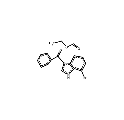 CCOC=O.O=C(c1ccccc1)c1c[nH]c2c(Br)cccc12